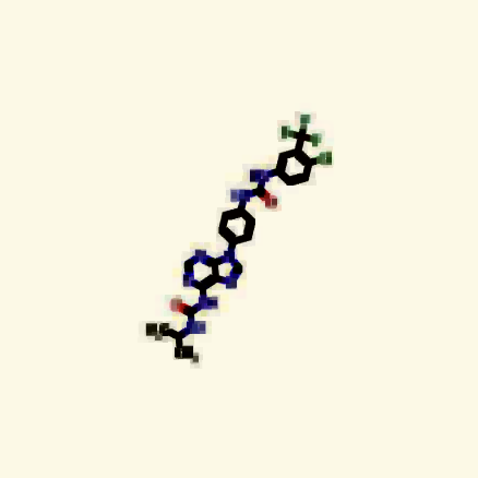 CC(C)NC(=O)Nc1ncnc2c1ncn2-c1ccc(NC(=O)Nc2ccc(Cl)c(C(F)(F)F)c2)cc1